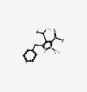 CC(Br)c1c(Cc2ccccc2)nn(C)c1[N+](=O)[O-]